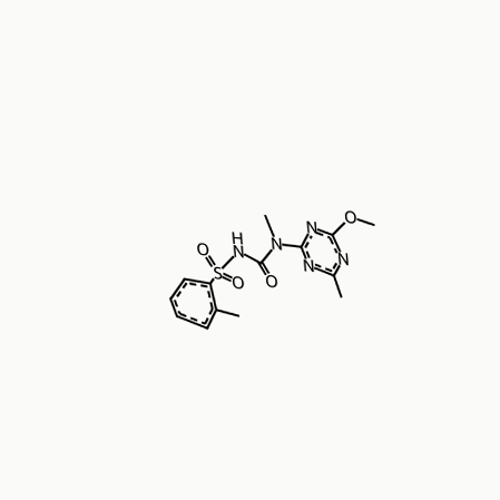 COc1nc(C)nc(N(C)C(=O)NS(=O)(=O)c2ccccc2C)n1